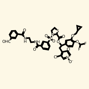 O=Cc1cccc(C(=O)NCCNC(=O)c2cccc(S(=O)(=O)N3CCSC3C(=O)OC(Cc3c(Cl)c[n+]([O-])cc3Cl)c3ccc(OC(F)F)c(OCC4CC4)c3)c2)c1